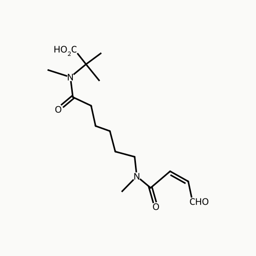 CN(CCCCCC(=O)N(C)C(C)(C)C(=O)O)C(=O)/C=C\C=O